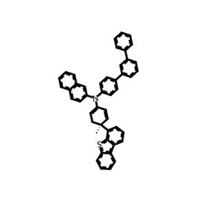 C[C@@]1(c2cccc3c2sc2ccccc23)C=CC(N(c2ccc(-c3cccc(-c4ccccc4)c3)cc2)c2ccc3ccccc3c2)=CC1